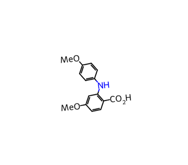 COc1ccc(Nc2cc(OC)ccc2C(=O)O)cc1